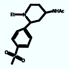 CCN1CCC(NC(C)=O)CC1c1ccc(S(C)(=O)=O)cc1